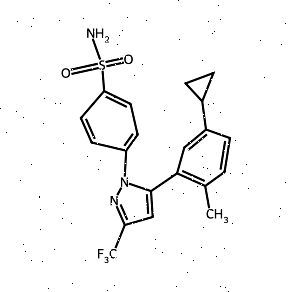 Cc1ccc(C2CC2)cc1-c1cc(C(F)(F)F)nn1-c1ccc(S(N)(=O)=O)cc1